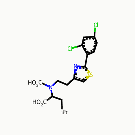 CC(C)CC(C(=O)O)N(CCc1csc(-c2ccc(Cl)cc2Cl)n1)C(=O)O